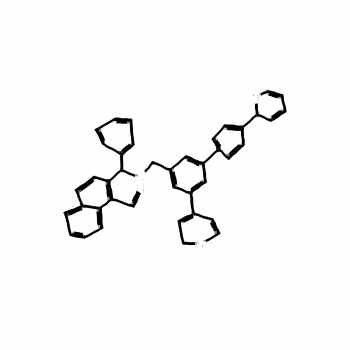 C=Cc1c(C(NCc2cc(C3=CCNC=C3)cc(-c3ccc(C4C=CC=CN4)cc3)c2)c2ccccc2)ccc2ccccc12